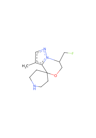 Cc1cnn2c1C1(CCNCC1)OCC2CF